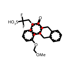 COCOc1ccccc1C1C2c3ccccc3C(c3ccccc32)C1C(=O)OCC(F)(F)S(=O)(=O)O